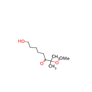 COOC(C)(C)C(=O)CCCCCO